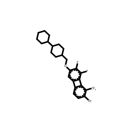 CCc1ccc2c(c1C(F)(F)F)-c1c-2cc(OCC2CCC(C3CCCCC3)CC2)c(F)c1F